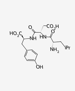 CC(C)C[C@H](N)C(=O)N[C@@H](CC(=O)O)C(=O)N[C@@H](Cc1ccc(O)cc1)C(=O)O